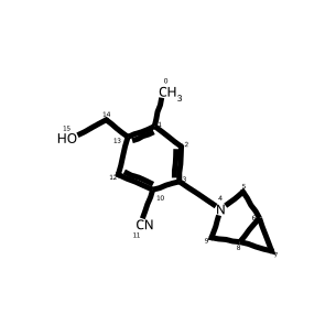 Cc1cc(N2CC3CC3C2)c(C#N)cc1CO